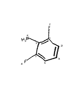 Fc1cccc(F)[c]1[BiH2]